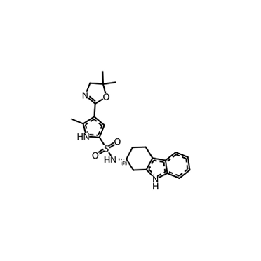 Cc1[nH]c(S(=O)(=O)N[C@@H]2CCc3c([nH]c4ccccc34)C2)cc1C1=NCC(C)(C)O1